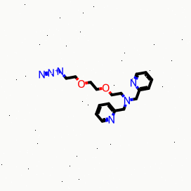 [N-]=[N+]=NCCOCCOCCN(Cc1ccccn1)Cc1ccccn1